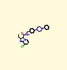 CCC1N=C2C(Cl)=CC=CN2C1C(=O)NCc1ccc(N2CCN(c3ccccc3)CC2)cc1